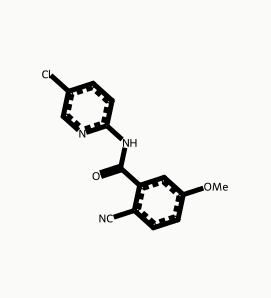 COc1ccc(C#N)c(C(=O)Nc2ccc(Cl)cn2)c1